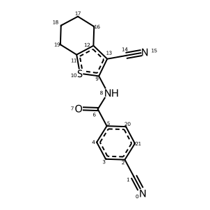 N#Cc1ccc(C(=O)Nc2sc3c(c2C#N)CCCC3)cc1